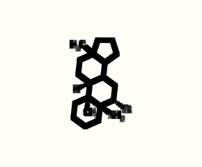 CC[C@H]1CC2C3CCCC3(C)CC[C@@H]2[C@@]2(C)CCCC[C@@]12N